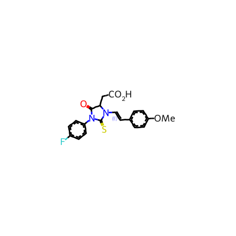 COc1ccc(/C=C/N2C(=S)N(c3ccc(F)cc3)C(=O)C2CC(=O)O)cc1